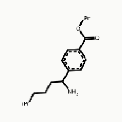 CC(C)CCCC(N)c1ccc(C(=O)OC(C)C)cc1